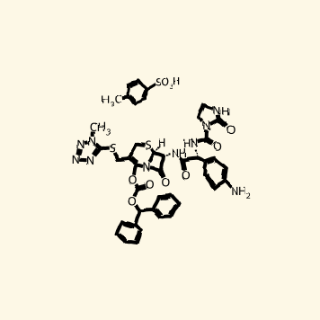 Cc1ccc(S(=O)(=O)O)cc1.Cn1nnnc1SCC1=C(OC(=O)OC(c2ccccc2)c2ccccc2)N2C(=O)[C@@H](NC(=O)[C@H](NC(=O)N3CCNC3=O)c3ccc(N)cc3)[C@@H]2SC1